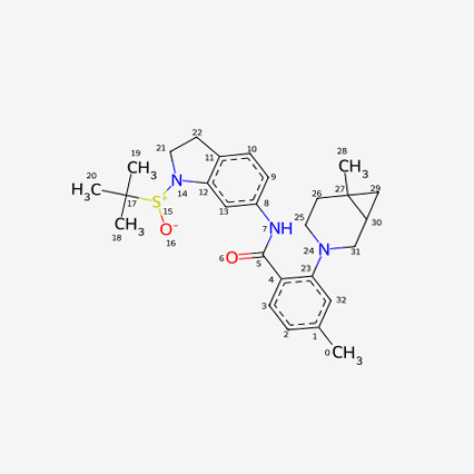 Cc1ccc(C(=O)Nc2ccc3c(c2)N([S+]([O-])C(C)(C)C)CC3)c(N2CCC3(C)CC3C2)c1